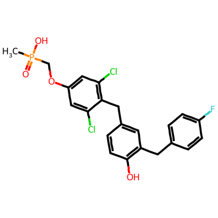 CP(=O)(O)COc1cc(Cl)c(Cc2ccc(O)c(Cc3ccc(F)cc3)c2)c(Cl)c1